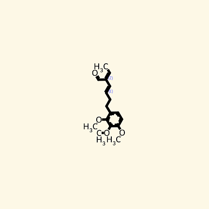 C/C=C(C=O)/C=C/CCc1ccc(OC)c(OC)c1OC